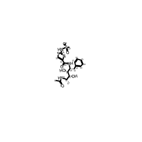 CC(=O)N[C@@H](C)[C@@H](O)[C@H](O)[C@@H](Cc1ccccc1)NC(=O)c1csc(NS(C)(=O)=O)n1